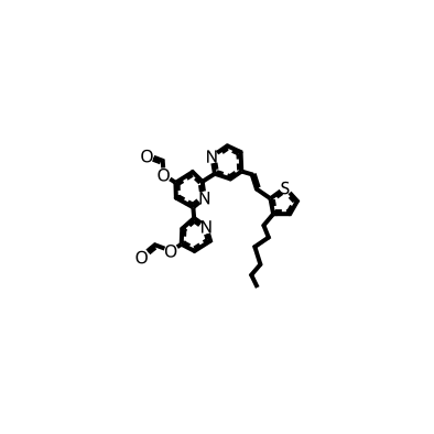 CCCCCCc1ccsc1/C=C/c1ccnc(-c2cc(OC=O)cc(-c3cc(OC=O)ccn3)n2)c1